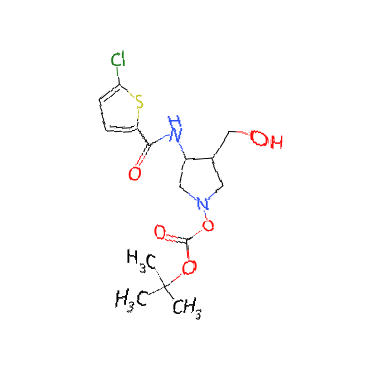 CC(C)(C)OC(=O)ON1CC(CO)C(NC(=O)c2ccc(Cl)s2)C1